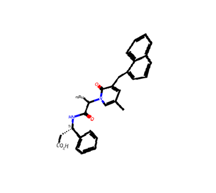 CCCCC(C(=O)N[C@@H](CC(=O)O)c1ccccc1)n1cc(C)cc(Cc2cccc3ccccc23)c1=O